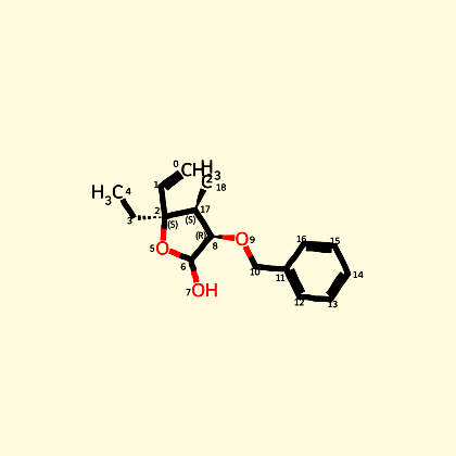 C=C[C@]1(CC)OC(O)[C@H](OCc2ccccc2)[C@@H]1C